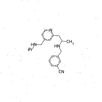 CC(C)NCc1ccnc(CC(C)NCc2cccc(C#N)c2)c1